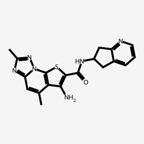 Cc1nc2cc(C)c3c(N)c(C(=O)NC4Cc5cccnc5C4)sc3n2n1